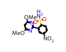 COc1cc(OC)nc(-c2cc([N+](=O)[O-])ccc2S(N)(=O)=O)n1